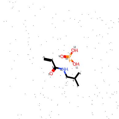 C=CC(=O)NCC(C)C.O=[PH](O)O